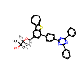 CC(C)(O)C(C)(C)OBc1cc(-c2ccc(-c3nc(-c4ccccc4)nc(-c4ccccc4)n3)cc2)c2sc3c(c2c1)=CC=CCC=3